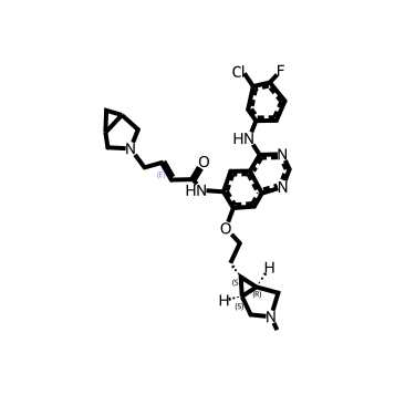 CN1C[C@@H]2[C@@H](CCOc3cc4ncnc(Nc5ccc(F)c(Cl)c5)c4cc3NC(=O)/C=C/CN3CC4CC4C3)[C@@H]2C1